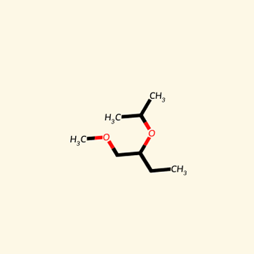 CCC(COC)OC(C)C